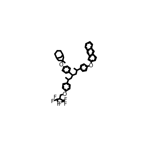 CC(CC(CC(C)c1ccc(Oc2ccc3cc4ccccc4cc3c2)cc1)c1ccc(OC2(C)CC3CCCC(C3)C2)cc1)c1ccc(OCC(C(F)(F)F)C(F)(F)F)cc1